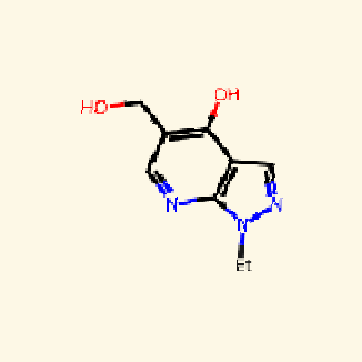 CCn1ncc2c(O)c(CO)cnc21